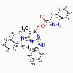 Cc1c(COC(=O)[C@@H](N)Cc2ccccc2)nc(Nc2ccc(F)cc2)nc1N1CCc2ccccc2C1C